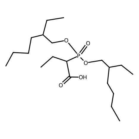 CCCCC(CC)COP(=O)(OCC(CC)CCCC)C(CC)C(=O)O